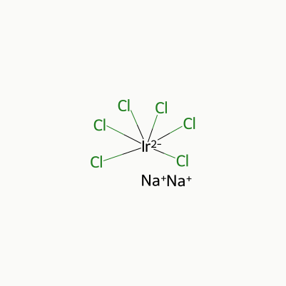 [Cl][Ir-2]([Cl])([Cl])([Cl])([Cl])[Cl].[Na+].[Na+]